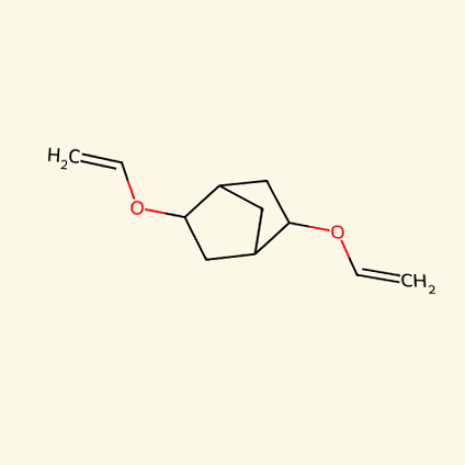 C=COC1CC2CC1CC2OC=C